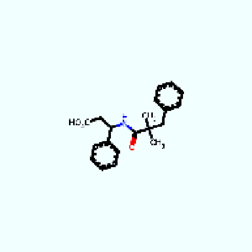 CC(C)(Cc1ccccc1)C(=O)NC(CC(=O)O)c1ccccc1